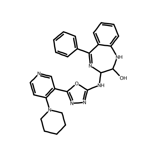 OC1Nc2ccccc2C(c2ccccc2)=NC1Nc1nnc(-c2cnccc2N2CCCCC2)o1